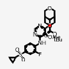 COc1c(Nc2ccc(S(=O)(=O)C3CC3)cc2F)ncnc1OC1C2COCC1CN(C(=O)OC(C)(C)C)C2